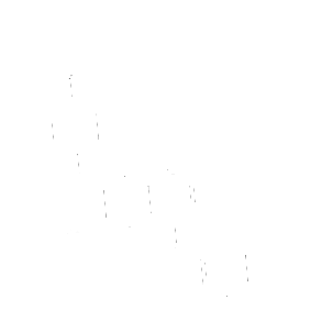 C#Cc1cccc(Nc2ncnc3cc(OC4CCN(C(=O)[C@H](C)O)CC4)c(OC)cc23)c1